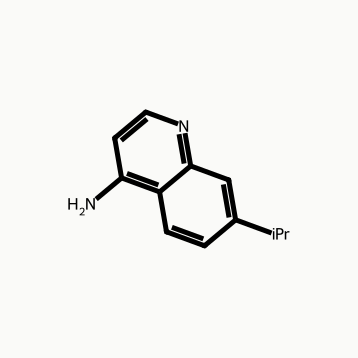 CC(C)c1ccc2c(N)ccnc2c1